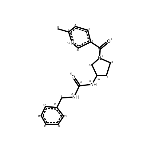 Cc1ccc(C(=O)N2CCC(NC(=O)NCc3ccccc3)C2)cn1